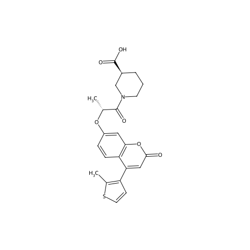 Cc1sccc1-c1cc(=O)oc2cc(O[C@H](C)C(=O)N3CCC[C@H](C(=O)O)C3)ccc12